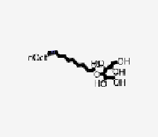 CCCCCCCC/C=C\CCCCCCCC(=O)O[C@@H]([C@H](O)[C@@H](O)CO)[C@H](O)CO